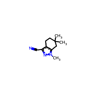 Cn1nc(C#N)c2c1CC(C)(C)CC2